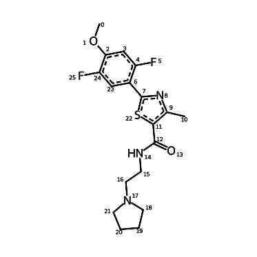 COc1cc(F)c(-c2nc(C)c(C(=O)NCCN3CCCC3)s2)cc1F